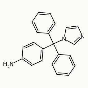 Nc1ccc(C(c2ccccc2)(c2ccccc2)n2ccnc2)cc1